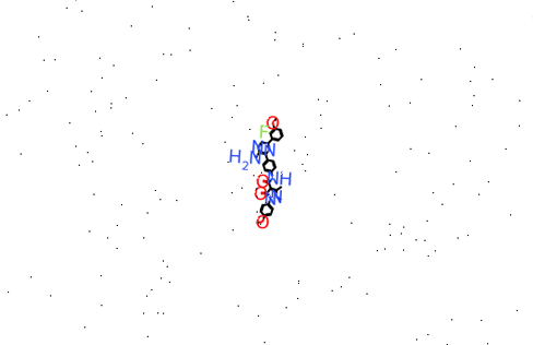 COc1ccc(-n2c(=O)c(C(=O)Nc3ccc(-c4nc(-c5cccc(OC)c5F)cnc4N)cc3)c(C)n2C)cc1